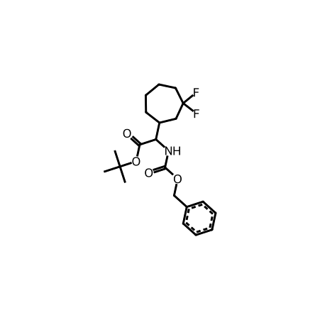 CC(C)(C)OC(=O)C(NC(=O)OCc1ccccc1)C1CCCCC(F)(F)C1